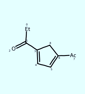 CCC(=O)C1=CC=C(C(C)=O)C1